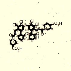 O=C(O)C1CCN(C(=O)/C=C/c2c(-c3ccccc3O)cc(Sc3cc(-c4ccccc4O)c(/C=C/C(=O)N4CCC(C(=O)O)CC4)c(Cl)c3Cl)c(Cl)c2Cl)CC1